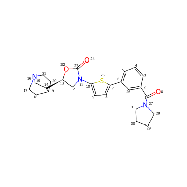 O=C(c1cccc(-c2ccc(N3C[C@@H](C4CN5CCC4CC5)OC3=O)s2)c1)N1CCCC1